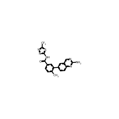 Cc1ccc(C(=O)Nc2nnc(C(F)(F)F)s2)cc1-c1ccc2nc(N)ncc2c1